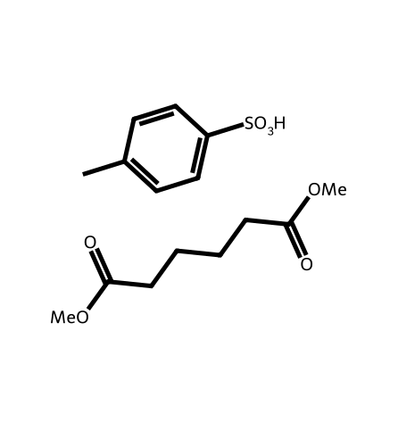 COC(=O)CCCCC(=O)OC.Cc1ccc(S(=O)(=O)O)cc1